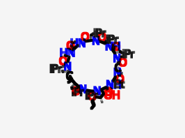 C/C=C/C[C@@H](C)[C@@H](O)C1C(=O)N[C@@H](CC)C(=O)N(C)CC(=O)N(C)[C@@H](CC(C)C)C(=O)NC(C(C)C)C(=O)N(C)[C@@H](CC(C)C)C(=O)N[C@@H](C)C(=O)N[C@H](C)C(=O)N(C)[C@@H](CC(C)C)CC(C)[C@@H](CC(C)C)C(=O)N(C)[C@@H](C(C)C)C(=O)N1C